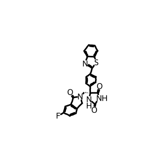 O=C1NC(=O)[C@](CN2Cc3ccc(F)cc3C2=O)(c2ccc(-c3nc4ccccc4s3)cc2)N1